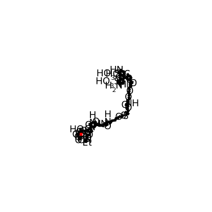 CCSSCO[C@@H]1C[C@H](n2cc(C#CCNC(=O)NCCCCCOCSSC(C)(C)CCOC(=O)NCCOCCOCCNC(=O)c3ccc(C(=O)O)c(-c4c5ccc(=N)c(S(=O)(=O)O)c-5oc5c(S(=O)(=O)O)c(N)ccc45)c3)c(=O)[nH]c2=O)O[C@@H]1COP(=O)(O)OP(=O)(O)OP(=O)(O)O